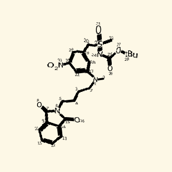 CN(CCCCN1C(=O)c2ccccc2C1=O)c1cc(CS(C)(=O)=NC(=O)OC(C)(C)C)cc([N+](=O)[O-])c1